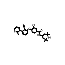 Cc1ncccc1-c1cccc(Oc2ccc(C(=O)NC3CC(C)(C)NC(C)(C)C3)cc2Cl)c1C#N